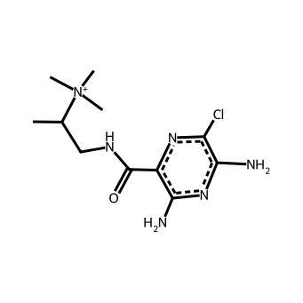 CC(CNC(=O)c1nc(Cl)c(N)nc1N)[N+](C)(C)C